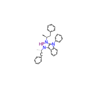 C[C@@H](Cc1ccccc1)N1PN([C@@H](C)Cc2ccccc2)c2c1c1ccccc1n2-c1ccccc1